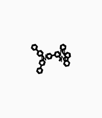 C=c1c2cc(-c3ccc(N(C4=CCC(c5ccccc5)C=C4)c4ccc(-c5ccccc5)cc4)cc3)ccc2n(-c2ccccc2)c2cccc3c4c(n1c32)C=CCC4